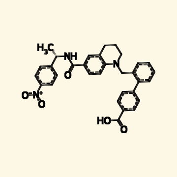 C[C@H](NC(=O)c1ccc2c(c1)CCCN2Cc1ccccc1-c1ccc(C(=O)O)cc1)c1ccc([N+](=O)[O-])cc1